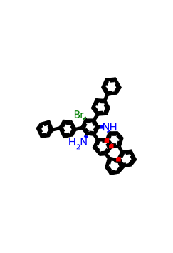 Nc1c(-c2ccc(-c3ccccc3)cc2)c(Br)c(-c2ccc(-c3ccccc3)cc2)c(Nc2ccc(-c3ccccc3)cc2)c1-c1ccc(-c2ccccc2)cc1